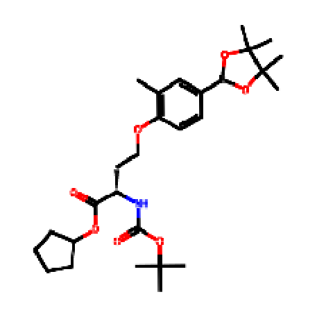 Cc1cc(B2OC(C)(C)C(C)(C)O2)ccc1OCC[C@H](NC(=O)OC(C)(C)C)C(=O)OC1CCCC1